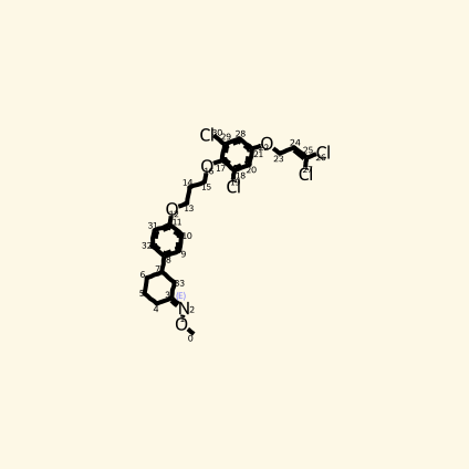 CO/N=C1\CCCC(c2ccc(OCCCOc3c(Cl)cc(OCC=C(Cl)Cl)cc3Cl)cc2)C1